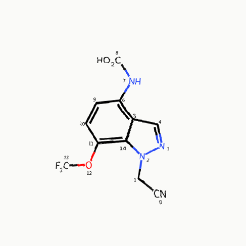 N#CCn1ncc2c(NC(=O)O)ccc(OC(F)(F)F)c21